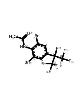 CC(=O)Nc1c(Br)cc(C(F)(C(F)(F)F)C(F)(F)F)cc1Br